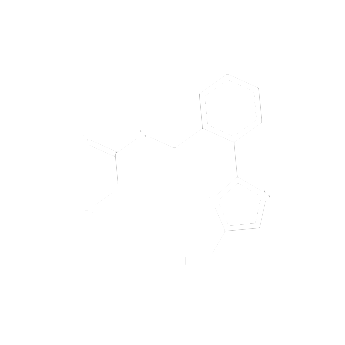 CC(C)(C)OC(=O)NCc1ccccc1-c1ncc(C(=O)O)s1